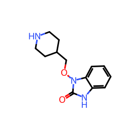 O=c1[nH]c2ccccc2n1OCC1CCNCC1